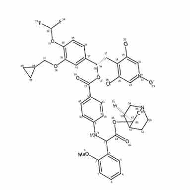 COc1ccccc1C(Nc1ccc(C(=O)O[C@@H](Cc2c(Cl)c[n+]([O-])cc2Cl)c2ccc(OC(F)F)c(OCC3CC3)c2)cc1)C(=O)O[C@H]1CN2CCC1CC2